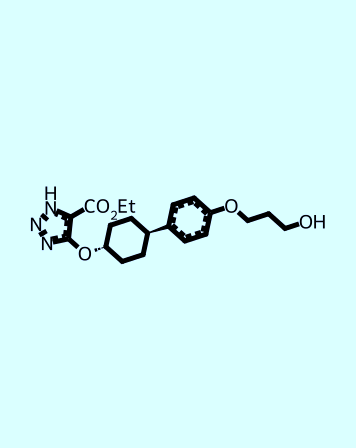 CCOC(=O)c1[nH]nnc1O[C@H]1CC[C@H](c2ccc(OCCCO)cc2)CC1